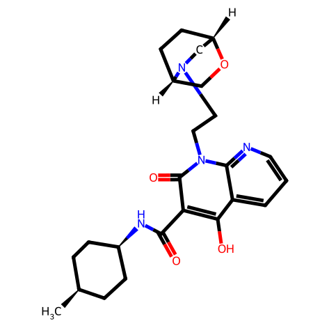 C[C@H]1CC[C@@H](NC(=O)c2c(O)c3cccnc3n(CCN3C[C@@H]4CC[C@H]3CO4)c2=O)CC1